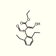 CCOC(=O)/C(=C\O)N(C=O)c1c(CC)cccc1CC